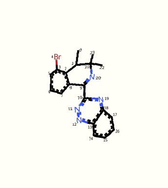 CC1c2c(Br)cccc2C(c2nnc3ccccc3n2)=NC1(C)C